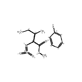 CCC(C)C(N=S(=O)=O)C(=O)OC.Fc1ccccc1